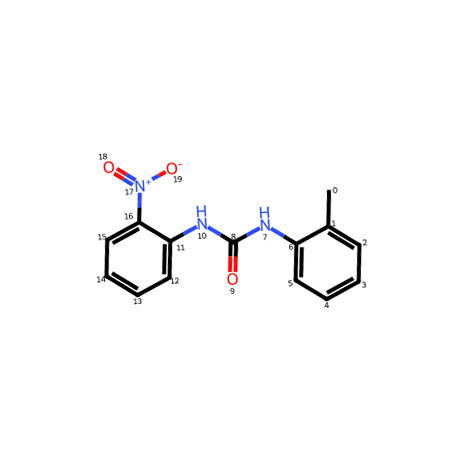 Cc1ccccc1NC(=O)Nc1ccccc1[N+](=O)[O-]